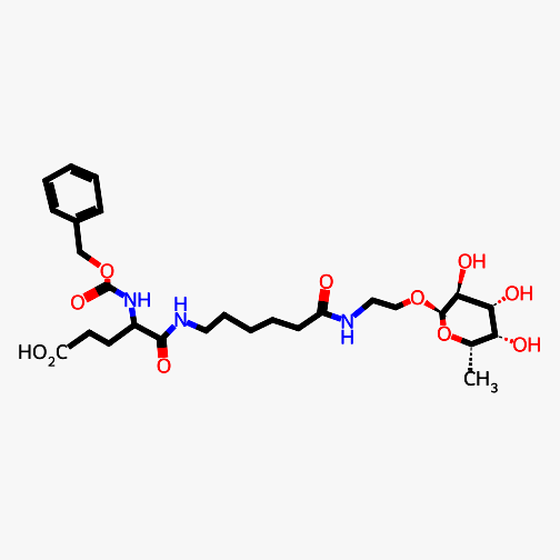 C[C@@H]1O[C@@H](OCCNC(=O)CCCCCNC(=O)C(CCC(=O)O)NC(=O)OCc2ccccc2)[C@@H](O)[C@H](O)[C@@H]1O